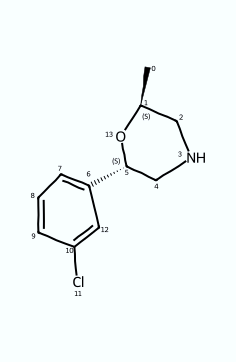 C[C@H]1CNC[C@H](c2cccc(Cl)c2)O1